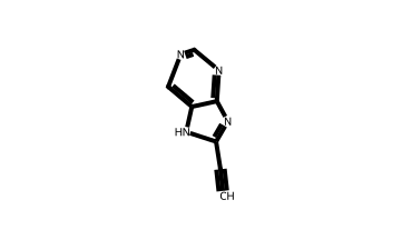 C#Cc1nc2ncncc2[nH]1